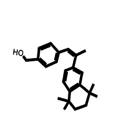 C/C(=C/c1ccc(CO)cc1)c1ccc2c(c1)C(C)(C)CCC2(C)C